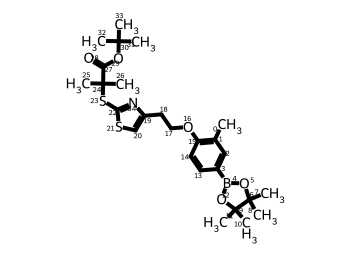 Cc1cc(B2OC(C)(C)C(C)(C)O2)ccc1OCCc1csc(SC(C)(C)C(=O)OC(C)(C)C)n1